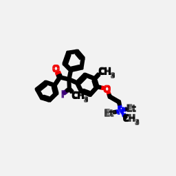 CC[N+](C)(CC)CCOc1ccc(C(C(=O)c2ccccc2)(c2ccccc2)C(C)I)cc1C